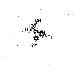 COc1ccc(-n2nc(C(C)(O)CCCO)cc2-c2ccc(C)nc2)cc1